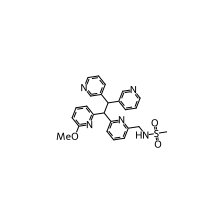 COc1cccc(C(c2cccc(CNS(C)(=O)=O)n2)C(c2cccnc2)c2cccnc2)n1